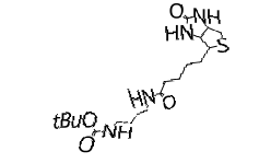 CC(C)(C)OC(=O)NCCCCNC(=O)CCCCC1SCC2NC(=O)NC21